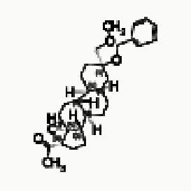 COC[C@@]1(OCc2ccccc2)CC[C@H]2[C@H](CC[C@@H]3[C@@H]2CC[C@]2(C)[C@@H](C(C)=O)CC[C@@H]32)C1